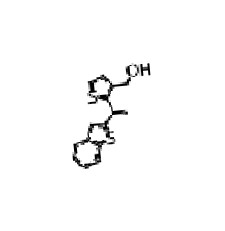 C=C(c1cc2ccccc2s1)c1sccc1CO